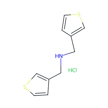 Cl.c1cc(CNCc2ccsc2)cs1